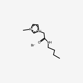 CCCCNC(=O)C[n+]1ccn(C)c1.[Br-]